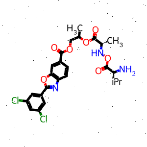 CC(COC(=O)c1ccc2nc(-c3cc(Cl)cc(Cl)c3)oc2c1)OC(=O)[C@H](C)NOC(=O)[C@@H](N)C(C)C